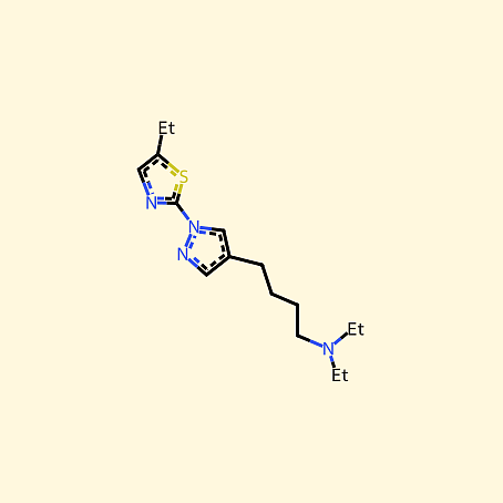 CCc1cnc(-n2cc(CCCCN(CC)CC)cn2)s1